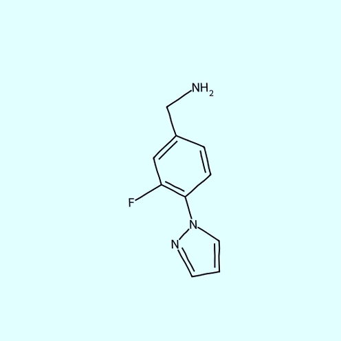 NCc1ccc(-n2cccn2)c(F)c1